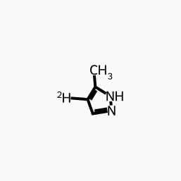 [2H]c1cn[nH]c1C